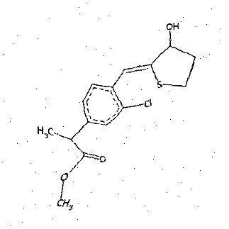 COC(=O)C(C)c1ccc(/C=C2\SCCC2O)c(Cl)c1